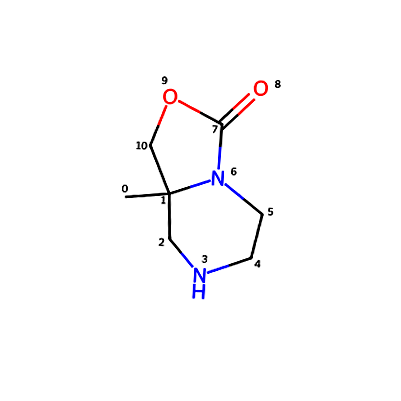 CC12CNCCN1C(=O)OC2